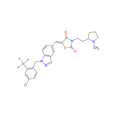 CN1CCCC1CCN1C(=O)SC(=Cc2ccc3c(cnn3Cc3ccc(Cl)cc3C(F)(F)F)c2)C1=O